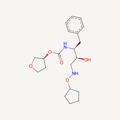 O=C(N[C@@H](Cc1ccccc1)[C@@H](O)CNOC1CCCC1)O[C@H]1CCOC1